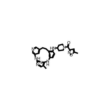 Cc1cc(C(=O)N2CCC(Nc3ccc4cc3CCc3cncc(c3)Nc3ncc(C)c(n3)N4)CC2)no1